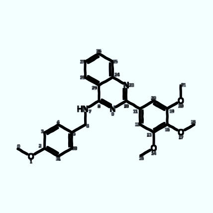 COc1ccc(CNc2nc(-c3cc(OC)c(OC)c(OC)c3)nc3ccccc23)cc1